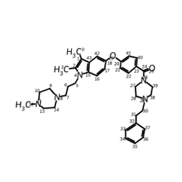 Cc1c(C)n(CCCN2CCN(C)CC2)c2ccc(Oc3ccc(C(=O)N4CCN(CCc5ccccc5)CC4)cc3)cc12